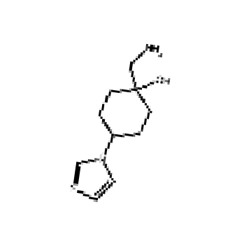 NCC1(O)CCC(n2ccnc2)CC1